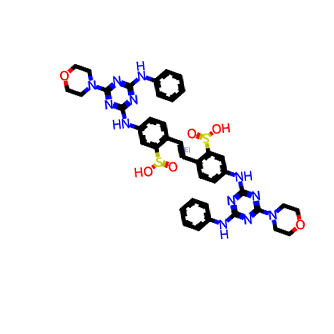 O=S(O)c1cc(Nc2nc(Nc3ccccc3)nc(N3CCOCC3)n2)ccc1/C=C/c1ccc(Nc2nc(Nc3ccccc3)nc(N3CCOCC3)n2)cc1S(=O)O